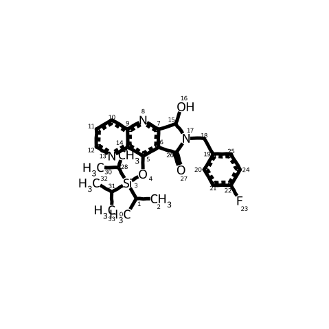 CC(C)[Si](Oc1c2c(nc3cccnc13)C(O)N(Cc1ccc(F)cc1)C2=O)(C(C)C)C(C)C